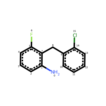 Nc1cccc(F)c1Cc1ccccc1Cl